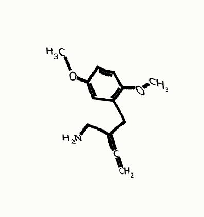 C=C=C(CN)Cc1cc(OC)ccc1OC